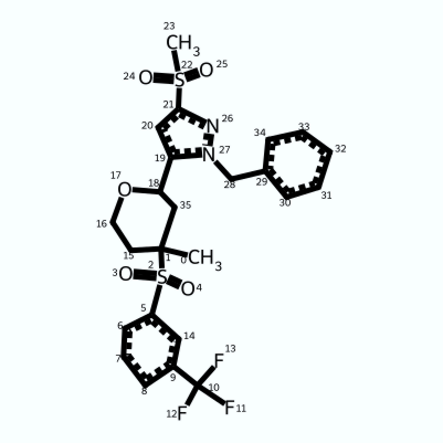 CC1(S(=O)(=O)c2cccc(C(F)(F)F)c2)CCOC(c2cc(S(C)(=O)=O)nn2Cc2ccccc2)C1